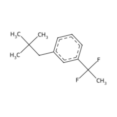 CC(C)(C)Cc1cccc(C(C)(F)F)c1